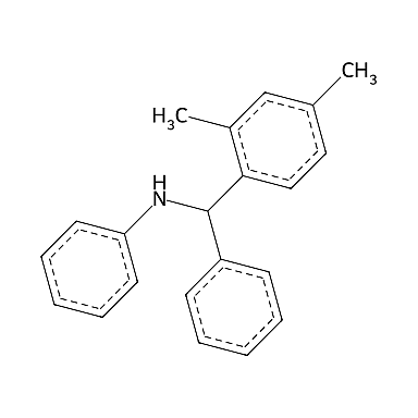 Cc1ccc(C(Nc2ccccc2)c2ccccc2)c(C)c1